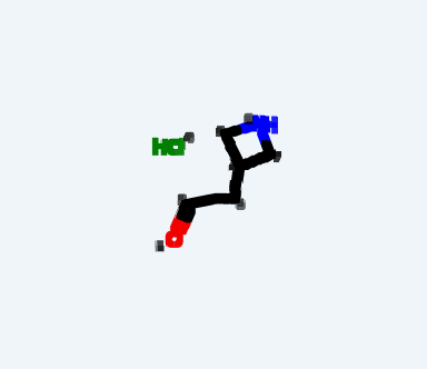 Cl.O=CCC1CNC1